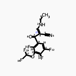 CCN/C=C(\C#N)C(=O)c1cc(F)c(F)c(OC(F)F)c1F